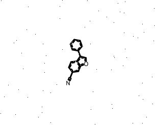 N#Cc1ccc2c(-c3ccccc3)coc2c1